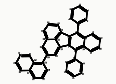 c1ccc(-c2c3c(c(-c4ccccc4)c4ccccc24)-c2cc(-c4cccc5ccncc45)cc4cccc-3c24)cc1